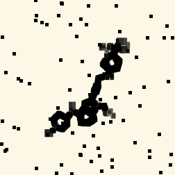 CCN1CCC(Nc2cccc3c2cc(C#CCNc2ccc(C(C)(C)C#N)nc2)n3CC(F)(F)F)CC1